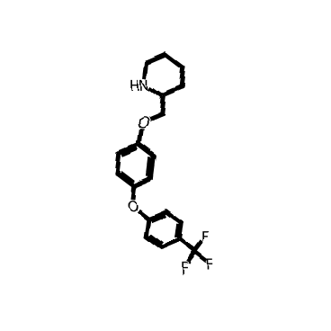 FC(F)(F)c1ccc(Oc2ccc(OCC3CCCCN3)cc2)cc1